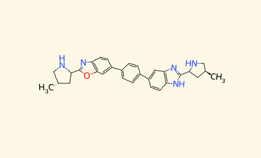 C[C@@H]1CNC(c2nc3cc(-c4ccc(-c5ccc6nc(C7C[C@H](C)CN7)oc6c5)cc4)ccc3[nH]2)C1